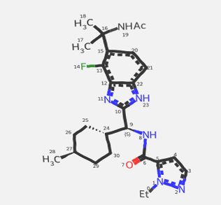 CCn1nccc1C(=O)N[C@H](c1nc2c(F)c(C(C)(C)NC(C)=O)ccc2[nH]1)[C@H]1CC[C@H](C)CC1